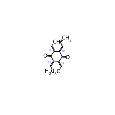 C=C/C=C1/C(=O)C(=C/C)/C(=C\C)C(=O)/C1=C/C